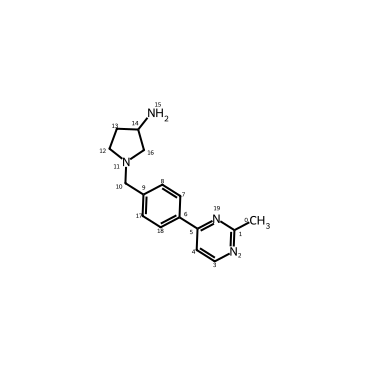 Cc1nccc(-c2ccc(CN3CCC(N)C3)cc2)n1